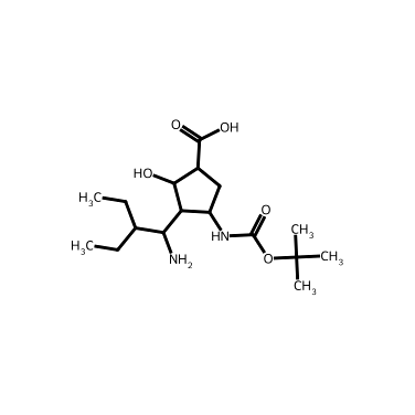 CCC(CC)C(N)C1C(NC(=O)OC(C)(C)C)CC(C(=O)O)C1O